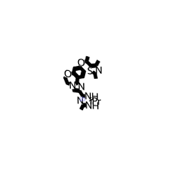 CC(=N)/N=C(\NC(C)C)c1cn2c(n1)-c1ccc(OC(C)c3sc(C)nc3C)cc1OCC2